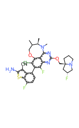 CC1COc2c(Cl)c(-c3ccc(F)c4sc(N)c(C#N)c34)c(F)c3nc(OC[C@@]45CCCN4C[C@H](F)C5)nc(c23)N(C)[C@@H]1C